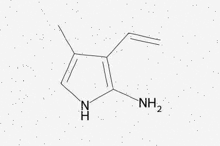 C=Cc1c(C)c[nH]c1N